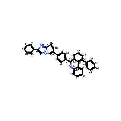 c1ccc(-c2cn3cc(-c4ccc(-c5nc6ccccc6c6c(-c7ccccc7)cccc56)cc4)ccc3n2)cc1